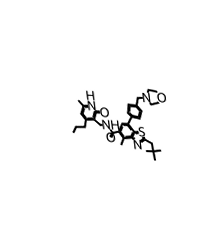 CCCc1cc(C)[nH]c(=O)c1CNC(=O)c1cc(-c2ccc(CN3CCOCC3)cc2)c2sc(CC(C)(C)C)nc2c1C